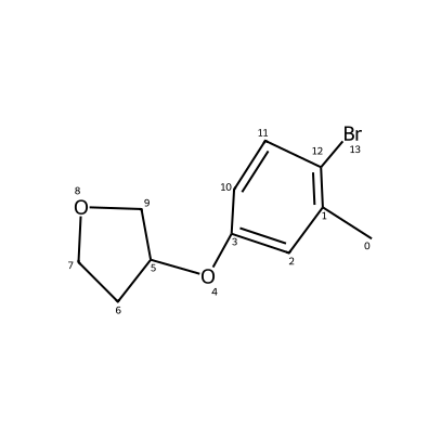 Cc1cc(OC2CCOC2)ccc1Br